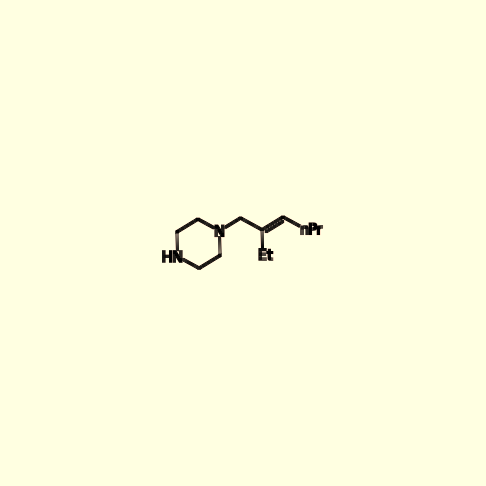 CCC/C=C(\CC)CN1CCNCC1